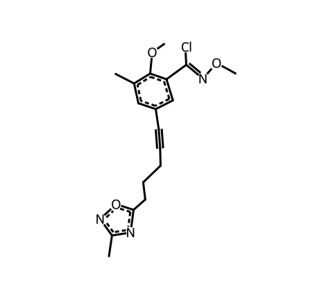 CON=C(Cl)c1cc(C#CCCCc2nc(C)no2)cc(C)c1OC